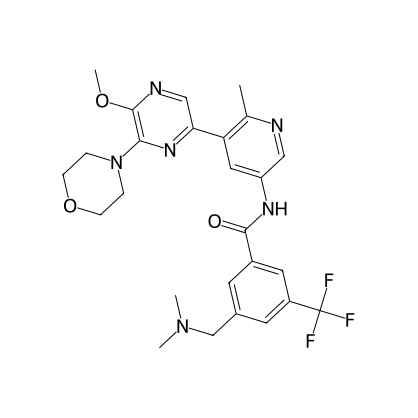 COc1ncc(-c2cc(NC(=O)c3cc(CN(C)C)cc(C(F)(F)F)c3)cnc2C)nc1N1CCOCC1